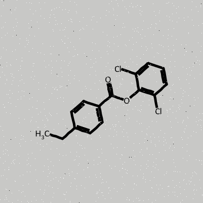 CCc1ccc(C(=O)Oc2c(Cl)cccc2Cl)cc1